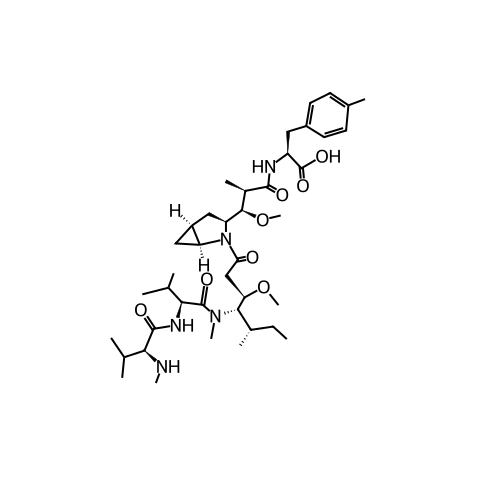 CC[C@H](C)[C@@H]([C@@H](CC(=O)N1[C@H]2C[C@H]2C[C@H]1[C@H](OC)[C@@H](C)C(=O)N[C@@H](Cc1ccc(C)cc1)C(=O)O)OC)N(C)C(=O)[C@@H](NC(=O)[C@@H](NC)C(C)C)C(C)C